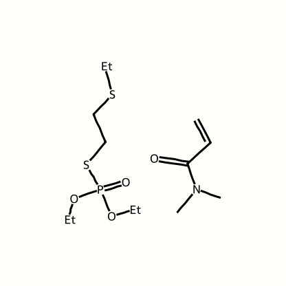 C=CC(=O)N(C)C.CCOP(=O)(OCC)SCCSCC